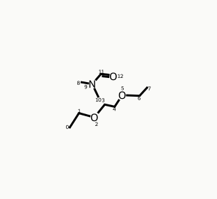 CCOCCOCC.CN(C)C=O